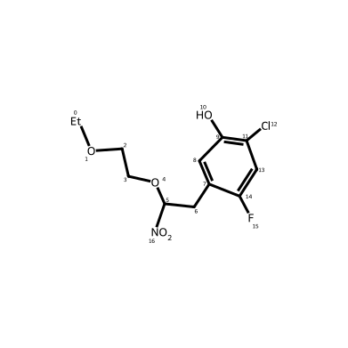 CCOCCOC(Cc1cc(O)c(Cl)cc1F)[N+](=O)[O-]